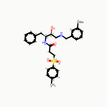 COc1cccc(CNC[C@H](O)[C@H](Cc2ccccc2)NC(=O)CCS(=O)(=O)c2ccc(C)cc2)c1